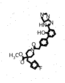 COC(=O)C1(Cc2ccc(F)cc2)CCN(C(=O)Cc2ccc(-c3cccc(C4=NC5N=CN=CC5N4)c3O)cc2)CC1